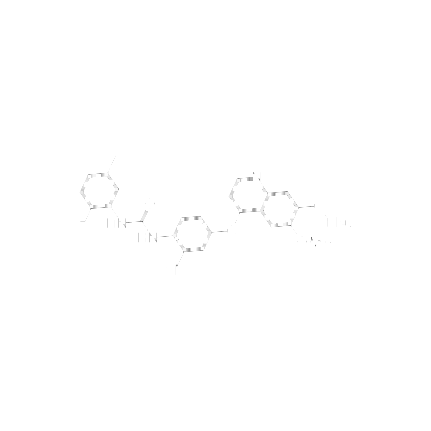 CCCCOc1cc2nccc(Oc3ccc(NC(=O)Nc4cc(C)ccc4F)c(Cl)c3)c2cc1OC